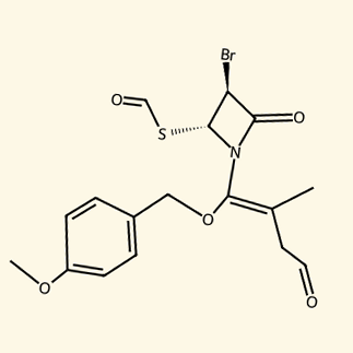 COc1ccc(COC(=C(C)CC=O)N2C(=O)[C@H](Br)[C@H]2SC=O)cc1